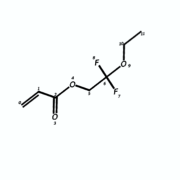 C=CC(=O)OCC(F)(F)OCC